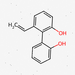 C=Cc1cccc(O)c1-c1ccccc1O